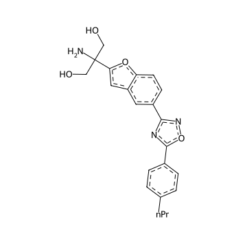 CCCc1ccc(-c2nc(-c3ccc4oc(C(N)(CO)CO)cc4c3)no2)cc1